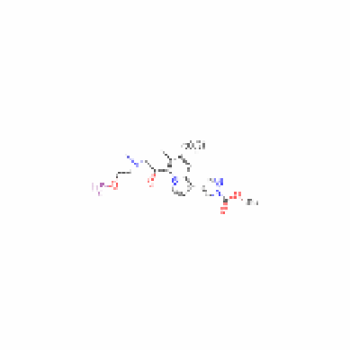 CCOC(=O)c1cc2c(-c3cnn(C(=O)OC(C)(C)C)c3)ccn2c(C(=O)CN(C)CCOP)c1C